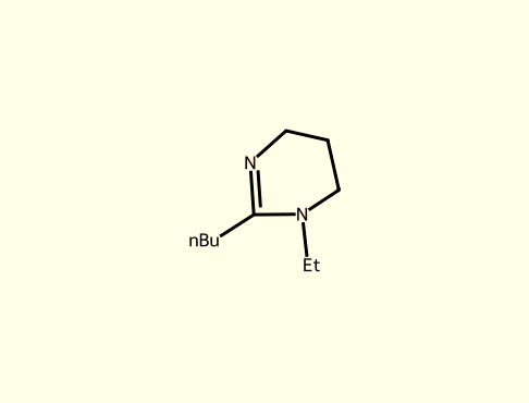 CCCCC1=NCCCN1CC